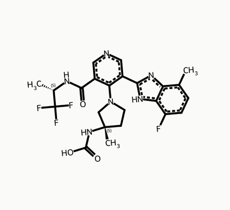 Cc1ccc(F)c2[nH]c(-c3cncc(C(=O)N[C@@H](C)C(F)(F)F)c3N3CC[C@](C)(NC(=O)O)C3)nc12